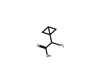 NC(C(=O)O)C12CC1C2